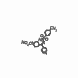 Cc1ccc(S(=O)(=O)NN=C(c2ccncc2)C2CCN(C(=O)O)CC2)cc1